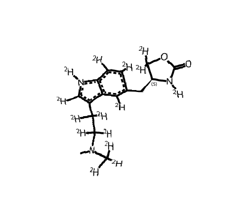 [2H]c1c(C[C@@H]2N([2H])C(=O)OC2([2H])[2H])c([2H])c2c(C([2H])([2H])C([2H])([2H])N(C)C([2H])([2H])[2H])c([2H])n([2H])c2c1[2H]